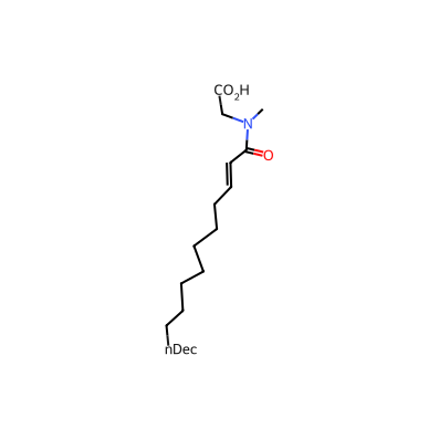 CCCCCCCCCCCCCCCCCC=CC(=O)N(C)CC(=O)O